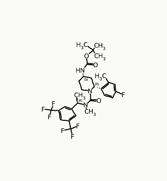 Cc1cc(F)ccc1[C@H]1C[C@@H](NC(=O)OC(C)(C)C)CCN1C(=O)N(C)[C@H](C)c1cc(C(F)(F)F)cc(C(F)(F)F)c1